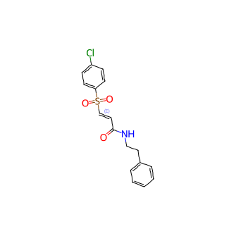 O=C(/C=C/S(=O)(=O)c1ccc(Cl)cc1)NCCc1ccccc1